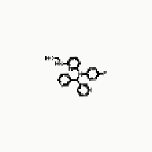 OCNc1cccc(N(c2ccc(F)cc2)C(c2cccnc2)c2cccnc2)n1